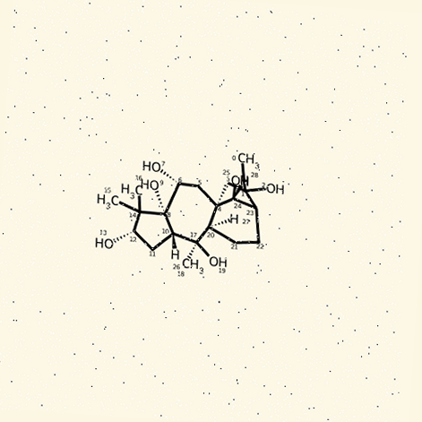 CC1(O)C[C@@]23C[C@@H](O)[C@@]4(O)[C@@H](C[C@H](O)C4(C)C)[C@](C)(O)[C@@H]2CCC1[C@H]3O